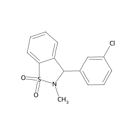 CN1C(c2cccc(Cl)c2)c2ccccc2S1(=O)=O